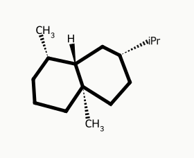 CC(C)[C@@H]1CC[C@@]2(C)CCC[C@H](C)[C@@H]2C1